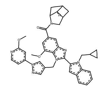 COc1cc(-n2cc(Cn3c(-c4cc5ccccc5n4CC4CC4)nc4cc(C(=O)N5CC6CC7CC5[C@H]76)cc(OC)c43)cn2)ccn1